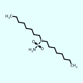 CCCCCCCCN(CCCCCCCC)S(N)(=O)=O